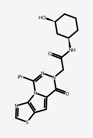 CC(C)c1nn(CC(=O)N[C@@H]2CCC[C@H](O)C2)c(=O)c2cc3scnc3n12